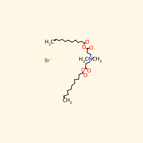 C=CCCCCCCCCC(=O)OC(=O)CC[N+](C)(C)CCC(=O)OC(=O)CCCCCCCCC=C.[Br-]